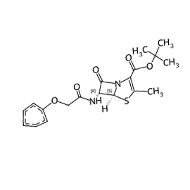 CC1=C(C(=O)OC(C)(C)C)N2C(=O)[C@@H](NC(=O)COc3ccccc3)[C@@H]2S1